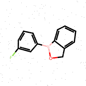 Fc1cccc(B2OCc3ccccc32)c1